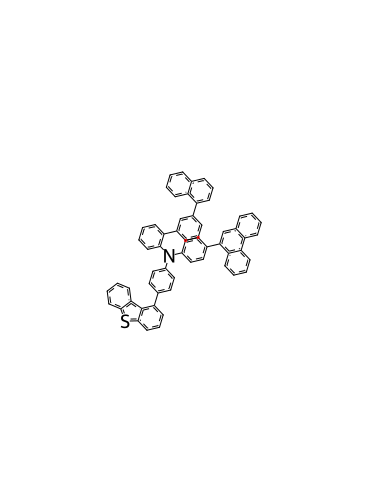 c1cc(-c2ccccc2N(c2ccc(-c3cc4ccccc4c4ccccc34)cc2)c2ccc(-c3cccc4sc5ccccc5c34)cc2)cc(-c2cccc3ccccc23)c1